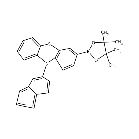 CC1(C)OB(c2ccc3c(c2)Sc2ccccc2N3c2ccc3ccccc3c2)OC1(C)C